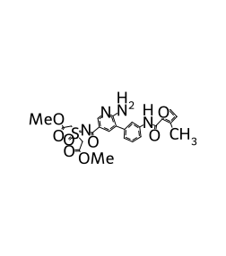 COC(=O)CS(=O)(CC(=O)OC)=NC(=O)c1cnc(N)c(-c2cccc(NC(=O)c3occc3C)c2)c1